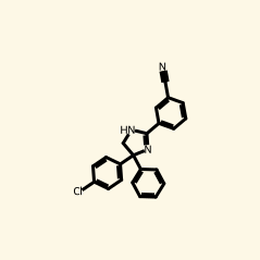 N#Cc1cccc(C2=NC(c3ccccc3)(c3ccc(Cl)cc3)CN2)c1